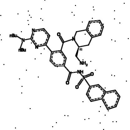 CCCCN(CCCC)c1nccc(-c2ccc(C(=O)NS(=O)(=O)c3ccc4ccccc4c3)cc2C(=O)N2Cc3ccccc3C[C@H]2CN)n1